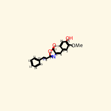 COc1cc(C=C2N=C(/C=C/c3ccccc3)OC2=O)ccc1O